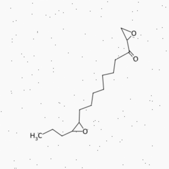 CCCC1OC1CCCCCCCC(=O)C1CO1